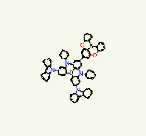 c1ccc(N2c3cc(-n4c5ccccc5c5ccccc54)ccc3B3c4ccc(-n5c6ccccc6c6ccccc65)cc4N(c4ccccc4)c4cc(-c5cc6c7c(c5)Oc5ccccc5B7c5ccccc5O6)cc2c43)cc1